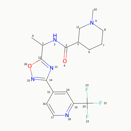 CC(NC(=O)C1CCCN(C)C1)c1nc(-c2ccnc(C(F)(F)F)c2)no1